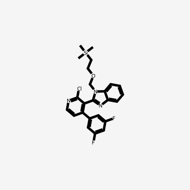 C[Si](C)(C)CCOCn1c(-c2c(-c3cc(F)cc(F)c3)ccnc2Cl)nc2ccccc21